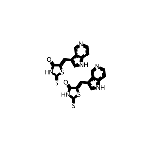 O=C1NC(=S)SC1=Cc1c[nH]c2ccncc12.O=C1NC(=S)SC1=Cc1c[nH]c2ccncc12